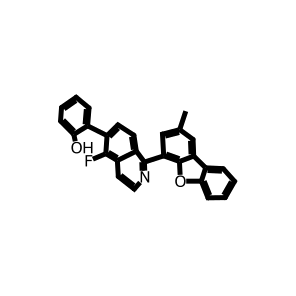 Cc1cc(-c2nccc3c(F)c(-c4ccccc4O)ccc23)c2oc3ccccc3c2c1